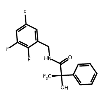 O=C(NCc1cc(F)cc(F)c1F)[C@@](O)(c1ccccc1)C(F)(F)F